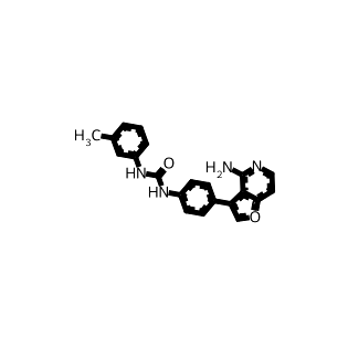 Cc1cccc(NC(=O)Nc2ccc(-c3coc4ccnc(N)c34)cc2)c1